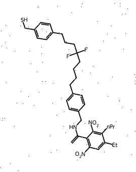 C=C(NCc1ccc(CCCCC(F)(F)CCCc2ccc(CS)cc2)cc1)c1c([N+](=O)[O-])cc(CC)c(CCC)c1[N+](=O)[O-]